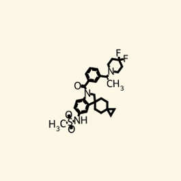 C[C@@H](c1cccc(C(=O)N2CC3(CCC4(CC4)CC3)c3cc(NS(C)(=O)=O)ccc32)c1)N1CCC(F)(F)CC1